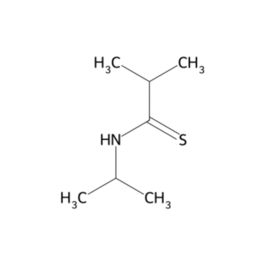 CC(C)NC(=S)C(C)C